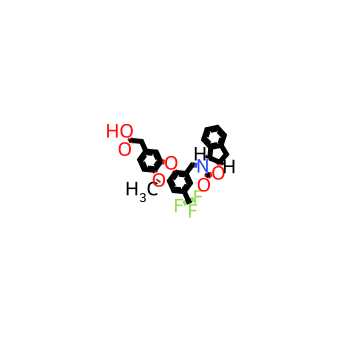 COc1ccc(CC(=O)O)cc1Oc1ccc(C(F)(F)F)cc1CN1C(=O)O[C@H]2Cc3ccccc3[C@H]21